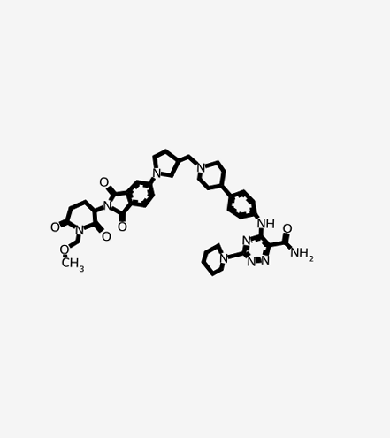 COCN1C(=O)CCC(N2C(=O)c3ccc(N4CCC(CN5CCC(c6ccc(Nc7nc(N8CCCCC8)nnc7C(N)=O)cc6)CC5)C4)cc3C2=O)C1=O